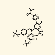 CN(C)C(=O)c1nc(-c2cc3c(cc2F)S(=O)(=O)C[C@H](NC(=O)OC(C)(C)C)C(=O)N3Cc2ccc(OC(F)(F)F)cc2)no1